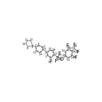 Fc1cc(-c2ccc(C3CCCC3)cc2)ccc1C(F)(F)Oc1cc(F)c(C(F)F)c(F)c1